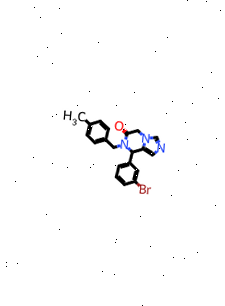 Cc1ccc(CN2C(=O)Cn3cncc3C2c2cccc(Br)c2)cc1